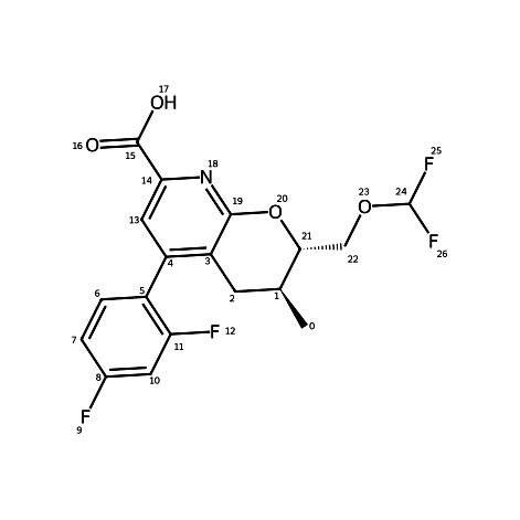 C[C@H]1Cc2c(-c3ccc(F)cc3F)cc(C(=O)O)nc2O[C@@H]1COC(F)F